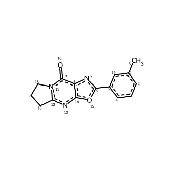 Cc1cccc(-c2nc3c(=O)n4c(nc3o2)CCC4)c1